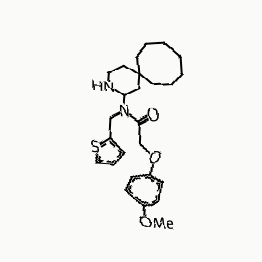 COc1ccc(OCC(=O)N(Cc2cccs2)C2CC3(CCCCCCC3)CCN2)cc1